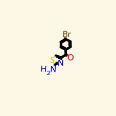 Nc1nc(C(=O)c2ccc(Br)cc2)cs1